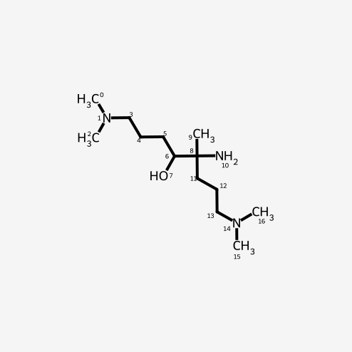 CN(C)CCCC(O)C(C)(N)CCCN(C)C